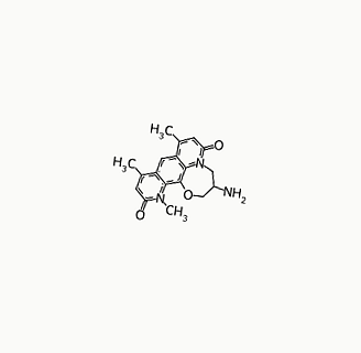 Cc1cc(=O)n(C)c2c3c4c(cc12)c(C)cc(=O)n4CC(N)CO3